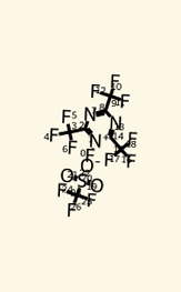 F[n+]1c(C(F)(F)F)nc(C(F)(F)F)nc1C(F)(F)F.O=S(=O)([O-])C(F)(F)F